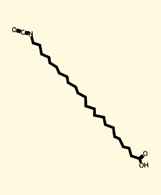 O=C=NCCCCCCCCCCCCCCCCCCCCCCCC(=O)O